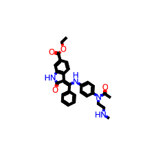 CCOC(=O)c1ccc2c(c1)NC(=O)C2=C(Nc1ccc(N(CCNC)C(C)=O)cc1)c1ccccc1